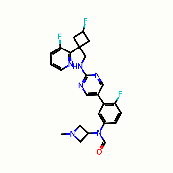 CN1CC(N(C=O)c2ccc(F)c(-c3cnc(NCC4(c5ncccc5F)CC(F)C4)nc3)c2)C1